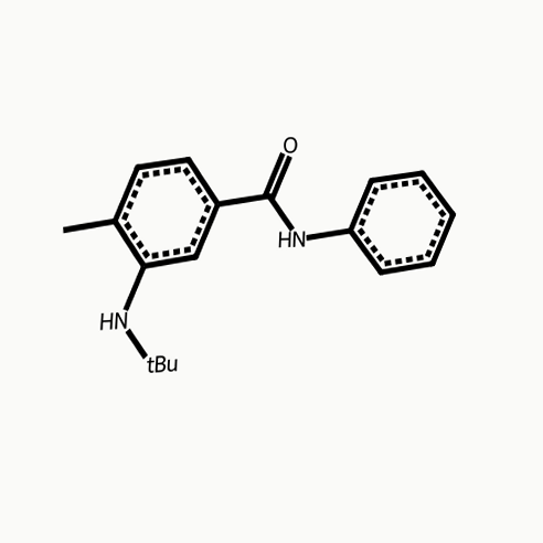 Cc1ccc(C(=O)Nc2ccccc2)cc1NC(C)(C)C